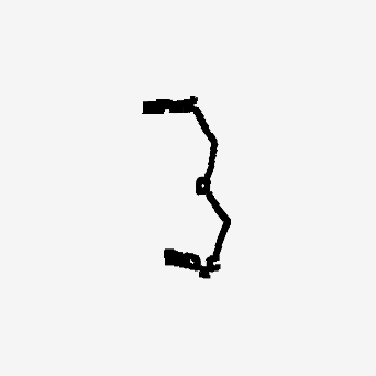 [CH2]CCCCCOCC(=O)OCC